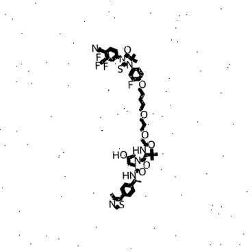 Cc1ncsc1-c1ccc([C@H](C)NC(=O)[C@@H]2C[C@@H](O)CN2C(=O)[C@@H](NC(=O)COCCCOCCCCCOc2ccc(N3C(=S)N(c4ccc(C#N)c(C(F)(F)F)c4)C(=O)C3(C)C)cc2F)C(C)(C)C)cc1